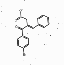 O=C(/C(=C/c1ccccc1)C[N+](=O)[O-])c1ccc(Br)cc1